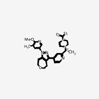 CCC(=O)N1CCN([C@H](C)c2cc(-c3nn(-c4cnc(OC)c(C)c4)c4c3CCOCC4)ccn2)CC1